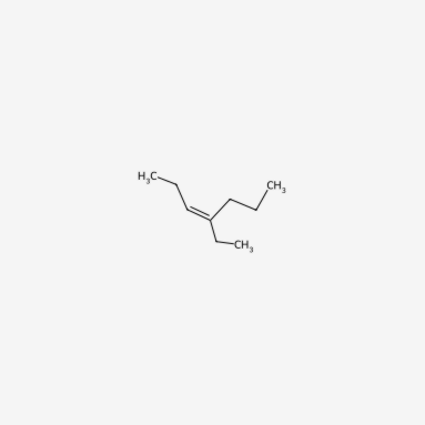 CCC=C(CC)CCC